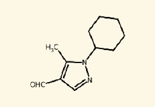 Cc1c(C=O)cnn1C1CCCCC1